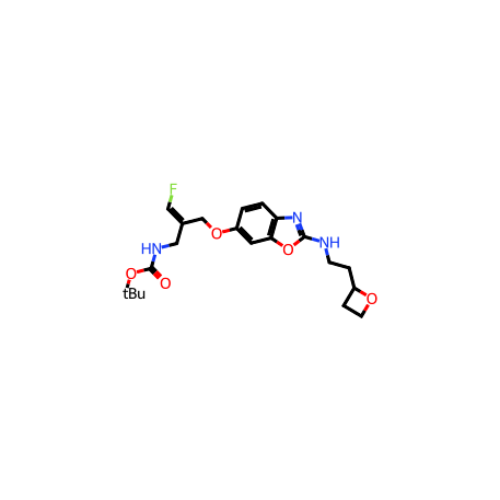 CC(C)(C)OC(=O)NC/C(=C/F)COc1ccc2nc(NCCC3CCO3)oc2c1